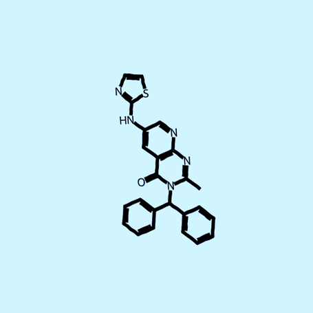 Cc1nc2ncc(Nc3nccs3)cc2c(=O)n1C(c1ccccc1)c1ccccc1